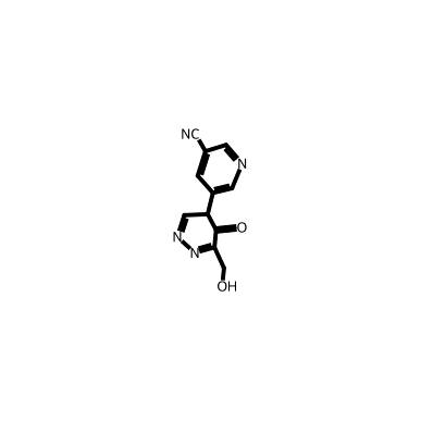 N#Cc1cncc(C2C=NN=C(CO)C2=O)c1